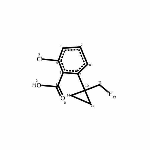 O=C(O)c1c(Cl)cccc1C1(CF)CC1